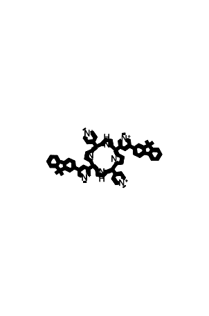 C[n+]1ccc(-c2c3nc(c(-c4cc(-c5ccc6c(c5)C(C)(C)c5ccccc5-6)c[n+](C)c4)c4ccc([nH]4)c(-c4cc[n+](C)cc4)c4nc(c(-c5cc(-c6ccc7c(c6)C(C)(C)c6ccccc6-7)c[n+](C)c5)c5ccc2[nH]5)C=C4)C=C3)cc1